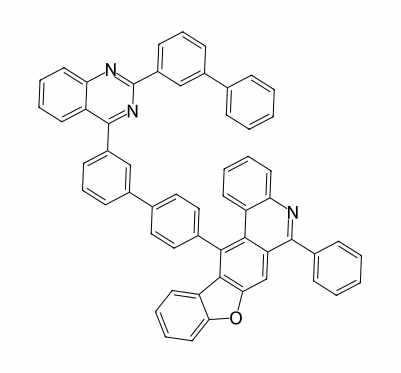 c1ccc(-c2cccc(-c3nc(-c4cccc(-c5ccc(-c6c7c(cc8c(-c9ccccc9)nc9ccccc9c68)oc6ccccc67)cc5)c4)c4ccccc4n3)c2)cc1